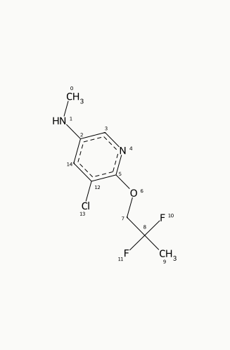 CNc1cnc(OCC(C)(F)F)c(Cl)c1